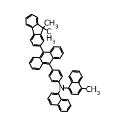 Cc1ccc(N(c2ccc(-c3c4ccccc4c(-c4ccc5c(c4)C(C)(C)c4ccccc4-5)c4ccccc34)cc2)c2cccc3ccccc23)c2ccccc12